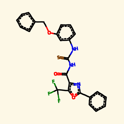 O=C(NC(=S)Nc1cccc(OCc2ccccc2)c1)c1nc(-c2ccccc2)oc1C(F)(F)F